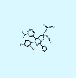 COC(=O)OCC1(N=[N+]=[N-])CC2=C(/C(C=N)=C/NC(F)F)[C@H](c3ccc(F)cc3Cl)N=C(c3nccs3)N2C1